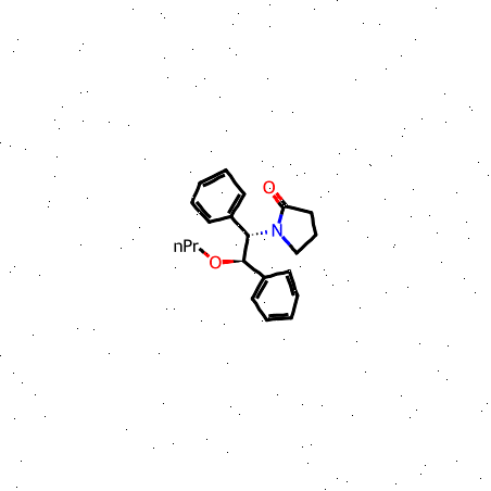 CCCO[C@H](c1ccccc1)[C@H](c1ccccc1)N1CCCC1=O